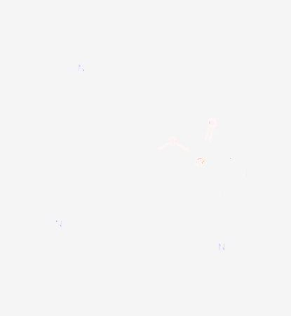 CN(C)c1ccc(S(OS(=O)(=O)C(F)(F)F)(c2ccc(N(C)C)cc2)c2ccc(N(C)C)cc2)cc1